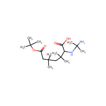 CC(C)(CC(=O)OC(C)(C)C)CC(C)(C)C(NC(C)(C)N)C(=O)O